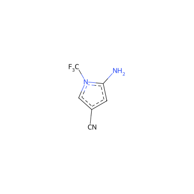 N#Cc1cc(N)n(C(F)(F)F)c1